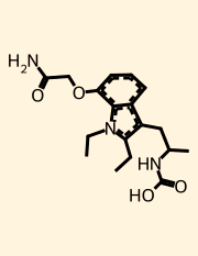 CCc1c(CC(C)NC(=O)O)c2cccc(OCC(N)=O)c2n1CC